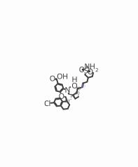 CCC(C/C=C/[C@H](O)[C@@H]1CC[C@H]1CN(C)c1cc(C(=O)O)ccc1OC[C@@]1(C)CCCc2cc(Cl)ccc21)CS(N)(=O)=O